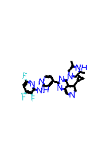 CC1CN(c2nc(-c3ccnc(Nc4nc(F)cc(F)c4F)c3)nc3cncc(C4CC4)c23)CC(C)N1